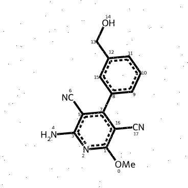 COc1nc(N)c(C#N)c(-c2cccc(CO)c2)c1C#N